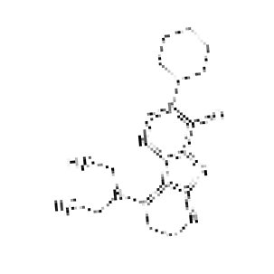 CCN(CC)C1=c2c(sc3c(=O)n(C4CCCCC4)cnc23)=NCC1